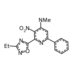 CCc1noc(-c2nc(-c3ccccc3)cc(NC)c2[N+](=O)[O-])n1